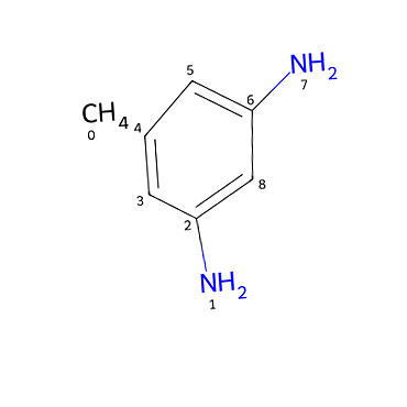 C.Nc1cccc(N)c1